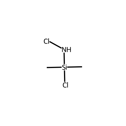 C[Si](C)(Cl)NCl